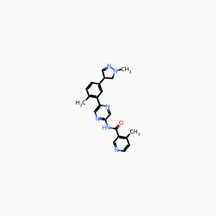 Cc1ccncc1C(=O)Nc1cnc(-c2cc(C3C=NN(C)C3)ccc2C)cn1